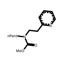 CCCCCN(CCc1ccccn1)C(=O)OC